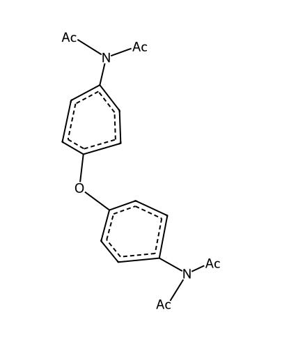 CC(=O)N(C(C)=O)c1ccc(Oc2ccc(N(C(C)=O)C(C)=O)cc2)cc1